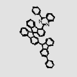 c1ccc(-c2ccc3c(c2)-c2ccccc2C3c2ccc3c(c2)C2(c4ccccc4-3)c3ccccc3-c3c(-c4nc(-c5ccccc5)c5ccccc5n4)cccc32)cc1